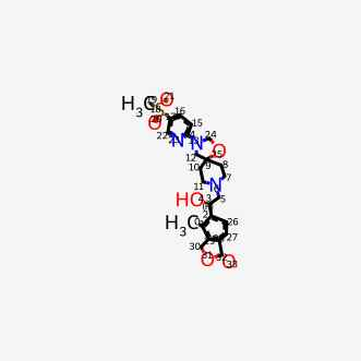 Cc1c([C@@H](O)CN2CCC3(CC2)CN(c2ccc(S(C)(=O)=O)cn2)CO3)ccc2c1COC2=O